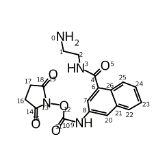 NCCNC(=O)c1cc(NC(=O)ON2C(=O)CCC2=O)cc2ccccc12